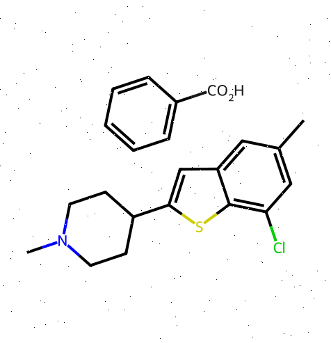 Cc1cc(Cl)c2sc(C3CCN(C)CC3)cc2c1.O=C(O)c1ccccc1